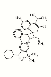 C=CC1C2C(c3ccccc3-c3cc(CC4CCCCC4)c([Si](C)(C)C)c[n+]32)C12CC(CC)=C(C(=C)O)c1cc(C(C)(C)C)cc[n+]12